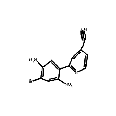 C#Cc1ccnc(-c2cc(N)c(Br)cc2[N+](=O)[O-])c1